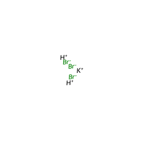 [Br-].[Br-].[Br-].[H+].[H+].[K+]